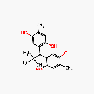 Cc1cc(O)c(C(c2cc(O)c(C)cc2O)C(C)(C)C)cc1O